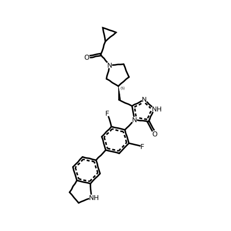 O=C(C1CC1)N1CC[C@@H](Cc2n[nH]c(=O)n2-c2c(F)cc(-c3ccc4c(c3)NCC4)cc2F)C1